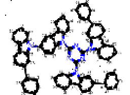 c1ccc(-c2ccc3c4ccccc4n(-c4ccc5c(c4)c4ccccc4n5-c4nc(-n5c6ccccc6c6ccc(-c7ccccc7)cc65)nc(-n5c6ccccc6c6ccc(-c7ccccc7)cc65)n4)c3c2)cc1